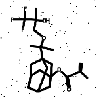 C=C(C)C(=O)OC12CC3CC(C1)CC(C(C)(C)OCC(C)(O)C(F)(F)F)(C3)C2